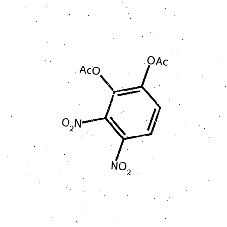 CC(=O)Oc1ccc([N+](=O)[O-])c([N+](=O)[O-])c1OC(C)=O